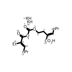 CCCC=C(CCOC(=O)OC(=O)C(=CCCC)CC)C(=O)O.[KH].[KH]